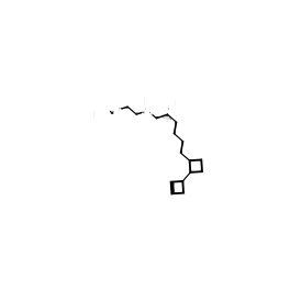 C=BCCNC[C@@H](C)CCCCC1CCC1C1C=CC1